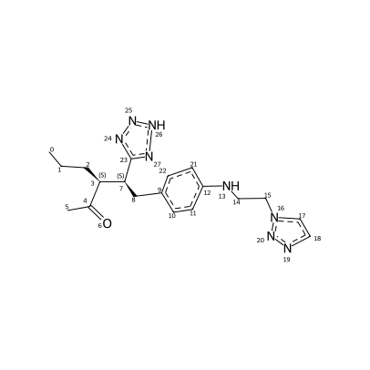 CCC[C@H](C(C)=O)[C@H](Cc1ccc(NCCn2ccnn2)cc1)c1nn[nH]n1